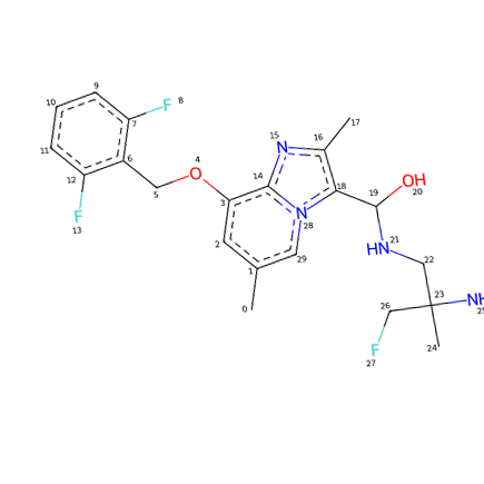 Cc1cc(OCc2c(F)cccc2F)c2nc(C)c(C(O)NCC(C)(N)CF)n2c1